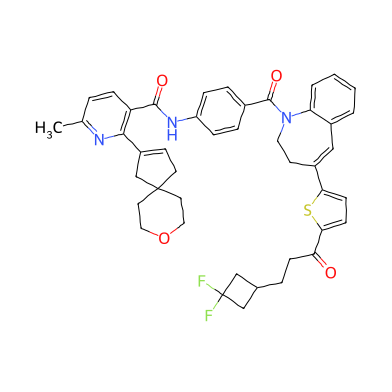 Cc1ccc(C(=O)Nc2ccc(C(=O)N3CCC(c4ccc(C(=O)CCC5CC(F)(F)C5)s4)=Cc4ccccc43)cc2)c(C2=CCC3(CCOCC3)C2)n1